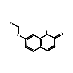 O=c1ccc2ccc(OCF)cc2[nH]1